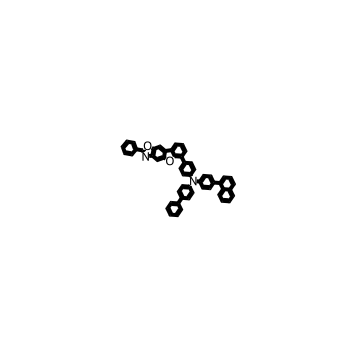 c1ccc(-c2ccc(N(c3ccc(-c4cccc5ccccc45)cc3)c3ccc(-c4cccc5c4oc4cc6nc(-c7ccccc7)oc6cc45)cc3)cc2)cc1